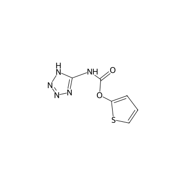 O=C(Nc1nnn[nH]1)Oc1cccs1